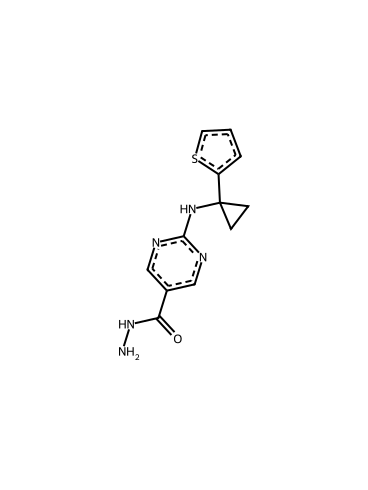 NNC(=O)c1cnc(NC2(c3cccs3)CC2)nc1